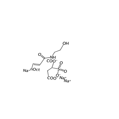 CCCCCCCCC=CC(=O)NCCO.O=C([O-])CC(C(=O)[O-])S(=O)(=O)[O-].[Na+].[Na+].[Na+]